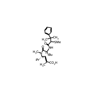 CSC(C(=O)N[C@H](C(=O)N(C)[C@H](C=C(C)C(=O)O)C(C)C)C(C)(C)C)C(C)(C)c1ccccc1